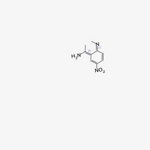 C/N=C1/C=CC([N+](=O)[O-])=C/C1=C(/C)N